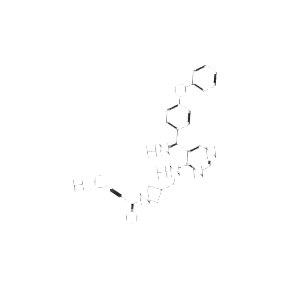 CC#CC(=O)N1CC(CNc2ncncc2C(=N)c2ccc(Oc3ccccc3)cc2)C1